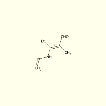 C=NN/C(CC)=C(\C)C=O